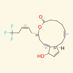 O=C1CCC/C=C\C[C@H]2C=CC(O)/C2=C/C[C@H](C/C=C\CC(F)(F)F)O1